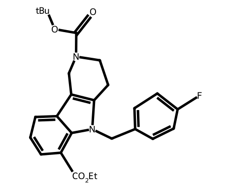 CCOC(=O)c1cccc2c3c(n(Cc4ccc(F)cc4)c12)CCN(C(=O)OC(C)(C)C)C3